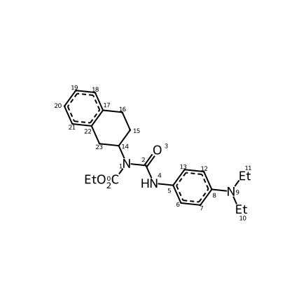 CCOC(=O)N(C(=O)Nc1ccc(N(CC)CC)cc1)C1CCc2ccccc2C1